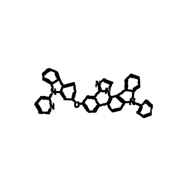 c1ccc(-n2c3ccccc3c3c2ccc2c4ccc(Oc5ccc6c7ccccc7n(-c7ccccn7)c6c5)cc4c4nccn4c23)cc1